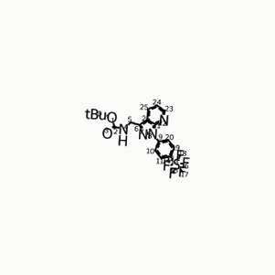 CC(C)(C)OC(=O)NCc1nn(-c2ccc(S(F)(F)(F)(F)F)cc2)c2ncccc12